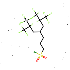 O=S(=O)(Cl)CCCC(CC(F)(C(F)(F)F)C(F)(F)F)CC(F)(C(F)(F)F)C(F)(F)F